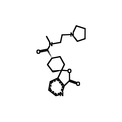 CN(CCN1CCCC1)C(=O)[C@H]1CC[C@@]2(CC1)OC(=O)c1ncccc12